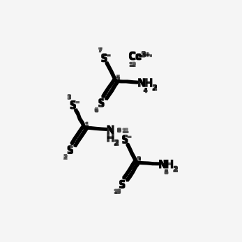 NC(=S)[S-].NC(=S)[S-].NC(=S)[S-].[Ce+3]